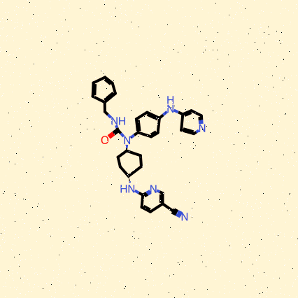 N#Cc1ccc(N[C@H]2CC[C@H](N(C(=O)NCc3ccccc3)c3ccc(Nc4ccncc4)cc3)CC2)nc1